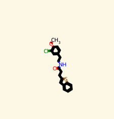 COc1ccc(CCNC(=O)CCc2cc3ccccc3s2)cc1Cl